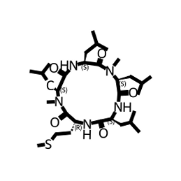 CSCC[C@H]1NC(=O)[C@H](CC(C)C)NC(=O)[C@H](CC(C)C)N(C)C(=O)[C@H](CC(C)C)NC(=O)[C@H](CC(C)C)N(C)C1=O